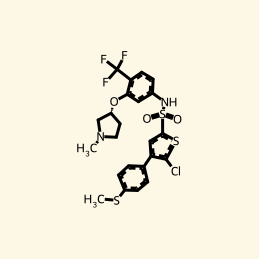 CSc1ccc(-c2cc(S(=O)(=O)Nc3ccc(C(F)(F)F)c(O[C@@H]4CCN(C)C4)c3)sc2Cl)cc1